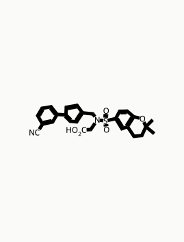 CC1(C)CCc2cc(S(=O)(=O)N(CC(=O)O)Cc3ccc(-c4cccc(C#N)c4)cc3)ccc2O1